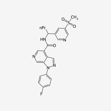 CCCC(NC(=O)c1cncc2c1cnn2-c1ccc(F)cc1)c1cncc(S(C)(=O)=O)c1